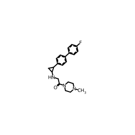 CN1CCN(C(=O)CNC2CC2c2ccc(-c3ccc(F)cc3)cc2)CC1